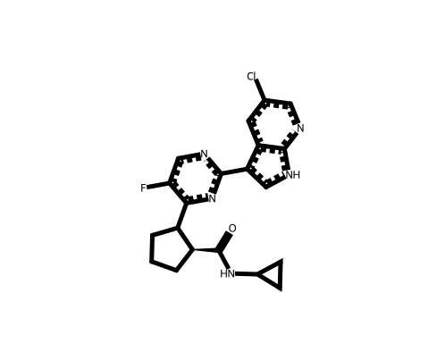 O=C(NC1CC1)[C@H]1CCCC1c1nc(-c2c[nH]c3ncc(Cl)cc23)ncc1F